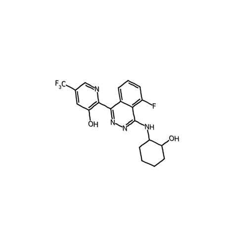 Oc1cc(C(F)(F)F)cnc1-c1nnc(NC2CCCCC2O)c2c(F)cccc12